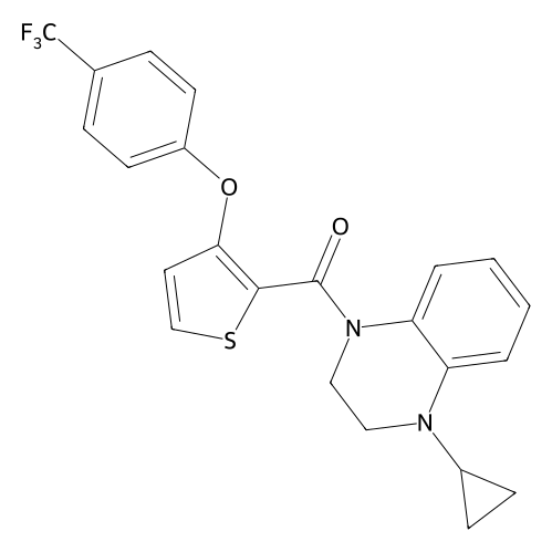 O=C(c1sccc1Oc1ccc(C(F)(F)F)cc1)N1CCN(C2CC2)c2ccccc21